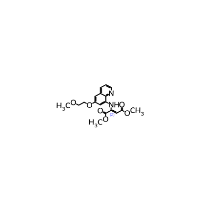 COCCOc1cc(N/C(=C\C(=O)OC)C(=O)OC)c2ncccc2c1